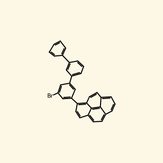 Brc1cc(-c2cccc(-c3ccccc3)c2)cc(-c2ccc3ccc4cccc5ccc2c3c45)c1